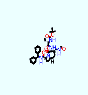 CC[C@H](NC(=O)OC(C)(C)C)C(=O)N[C@@H]1C(=O)N2[C@@H](CC[C@@H]1CNC=O)CC[C@H]2C(=O)NC(c1ccccc1)c1ccccc1